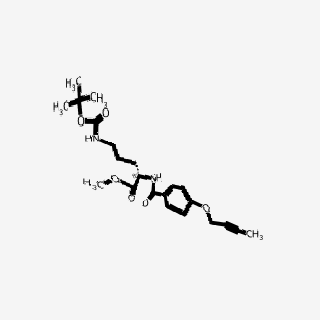 CC#CCOc1ccc(C(=O)N[C@@H](CCCNC(=O)OC(C)(C)C)C(=O)OC)cc1